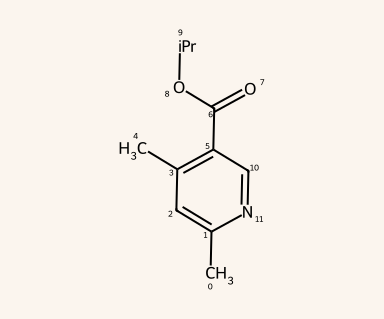 Cc1cc(C)c(C(=O)OC(C)C)cn1